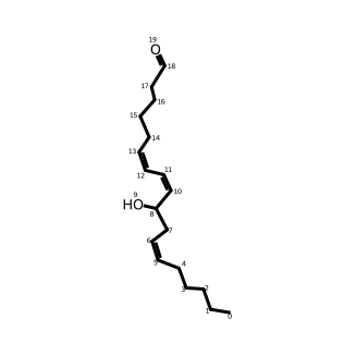 CCCCC/C=C\CC(O)/C=C\C=C/CCCCC=O